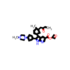 C=CC(=O)Cc1cc(-c2c(-c3ccc(N4CCN(C)CC4)cc3)[nH]c3ncc(C(=O)OC4COC4)cc23)ccc1C